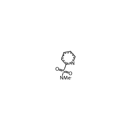 C[N]S(=O)(=O)c1ccccn1